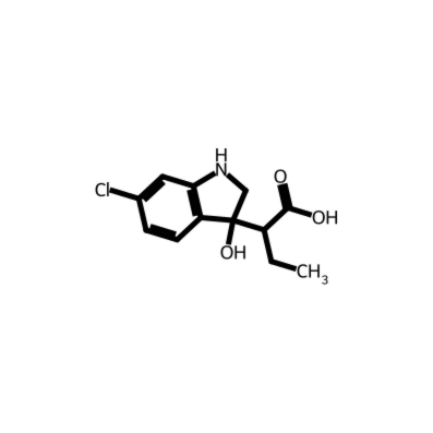 CCC(C(=O)O)C1(O)CNc2cc(Cl)ccc21